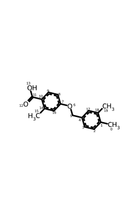 Cc1ccc(COc2ccc(C(=O)O)c(C)c2)cc1C